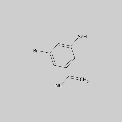 C=CC#N.[SeH]c1cccc(Br)c1